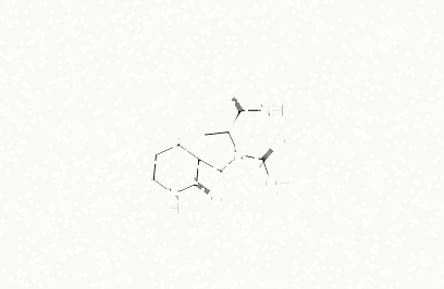 NC(=O)[C@@H]1C[C@]2(CCCNC2=O)CN1C(=O)O